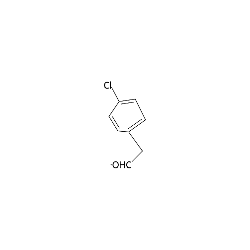 O=[C]Cc1ccc(Cl)cc1